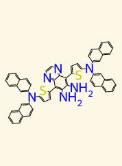 Nc1c(N)c(-c2ccc(N(c3ccc4ccccc4c3)c3ccc4ccccc4c3)s2)c2nccnc2c1-c1ccc(N(c2ccc3ccccc3c2)c2ccc3ccccc3c2)s1